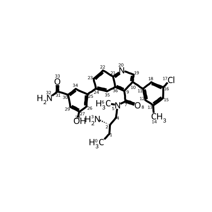 CC[C@H](N)CN(C)C(=O)c1c(-c2cc(C)cc(Cl)c2)cnc2ccc(-c3cc(O)cc(C(N)=O)c3)cc12